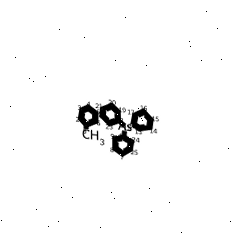 Cc1ccccc1.c1ccc([As](c2ccccc2)c2ccccc2)cc1